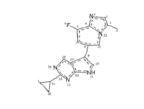 Cc1cnc2c(F)cc(-c3c[nH]c4nc(C5CC5)ncc34)cn12